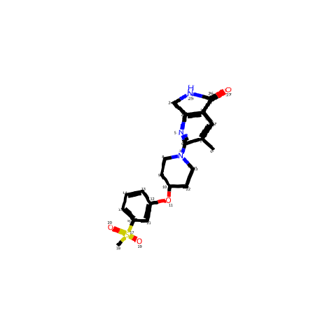 Cc1cc2c(nc1N1CCC(Oc3cccc(S(C)(=O)=O)c3)CC1)CNC2=O